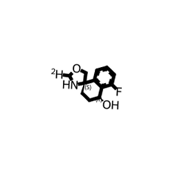 [2H]C1N[C@]2(CC[C@@H](O)c3c(F)cccc32)CO1